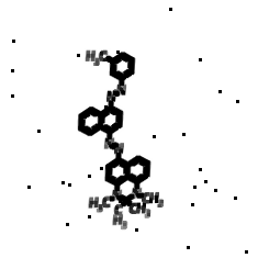 Cc1cccc(N=Nc2ccc(N=Nc3ccc4c5c(cccc35)N(C)C(C)(C)N4C)c3ccccc23)c1